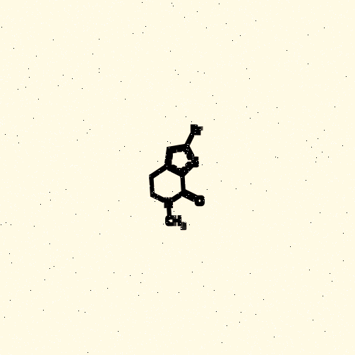 CN1CCc2cc(Br)sc2C1=O